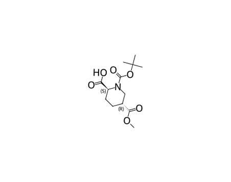 COC(=O)[C@@H]1CC[C@@H](C(=O)O)N(C(=O)OC(C)(C)C)C1